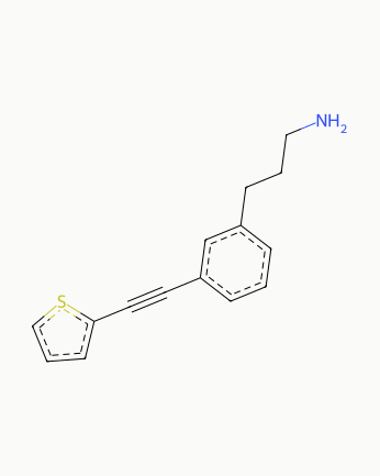 NCCCc1cccc(C#Cc2cccs2)c1